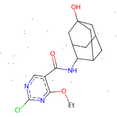 CCOc1nc(Cl)ncc1C(=O)NC1C2CC3CC1CC(O)(C3)C2